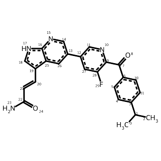 CC(C)c1ccc(C(=O)c2ncc(-c3cnc4[nH]cc(C=CC(N)=O)c4c3)cc2F)cc1